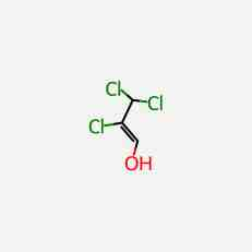 OC=C(Cl)C(Cl)Cl